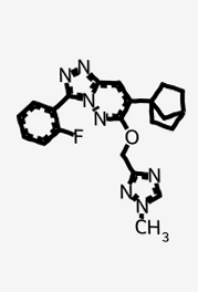 Cn1cnc(COc2nn3c(-c4ccccc4F)nnc3cc2C23CCC(CC2)C3)n1